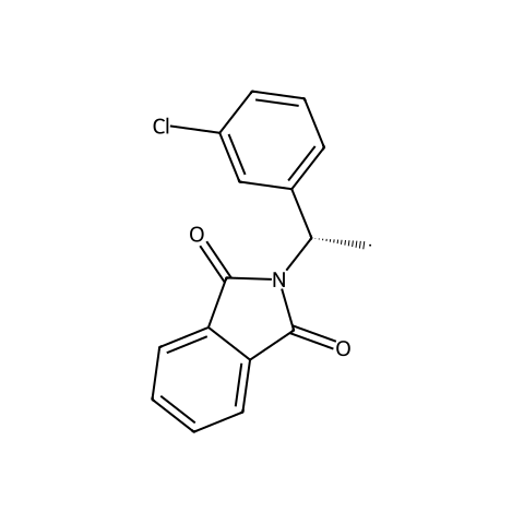 [CH2][C@@H](c1cccc(Cl)c1)N1C(=O)c2ccccc2C1=O